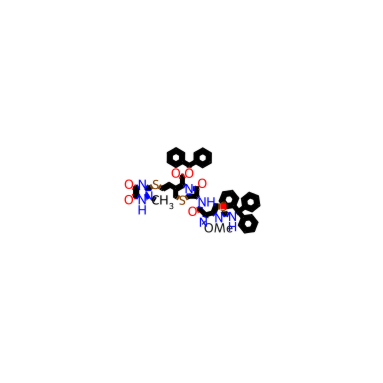 CO/N=C(/C(=O)NC1C(=O)N2C(C(=O)OC(c3ccccc3)c3ccccc3)=C(/C=C/Sc3nc(=O)c(=O)[nH]n3C)CSC12)c1csc(NC(c2ccccc2)(c2ccccc2)c2ccccc2)n1